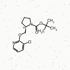 CC(C)(C)OC(=O)N1CCC[C@@H]1COc1ncccc1Cl